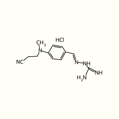 CN(CCC#N)c1ccc(C=NNC(=N)N)cc1.Cl